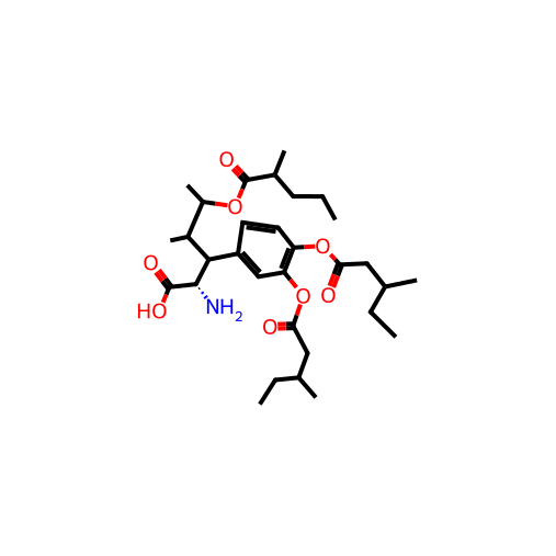 CCCC(C)C(=O)OC(C)C(C)C(c1ccc(OC(=O)CC(C)CC)c(OC(=O)CC(C)CC)c1)[C@H](N)C(=O)O